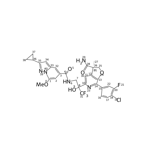 COc1cc(C(=O)NCC(O)(c2cc3c(c(-c4ccc(Cl)c(F)c4)n2)OC[C@]3(C)C(N)=O)C(F)(F)F)cc2cc(C3CC3)nn12